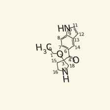 CCOC1(C(=O)c2ccc3[nH]ccc3c2)CCNC1